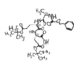 C[C@H](NC(=O)OCc1ccccc1)C(=O)N[C@@H](CCC(=O)OC(C)(C)C)C(=O)N[C@@H](CC(=O)OC(C)(C)C)C(=O)O